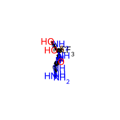 C[C@H](NCCCNC(=N)N)c1ccc(-n2cc3cc(-c4cc(SC(F)(F)F)cc([C@H](O)CC[C@H](N)CCO)c4)[nH]c3nc2=O)cc1